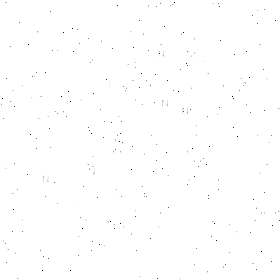 Cc1c(Cl)cc(C(C)n2nc(-c3ccncc3)c3c(N)ncnc32)c(OCCOC(=O)C(F)(F)F)c1-c1ccc(C(=O)N(C)C)nc1